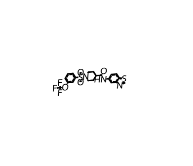 O=C(Nc1ccc2scnc2c1)C1CCN(S(=O)(=O)c2cccc(OC(F)(F)F)c2)CC1